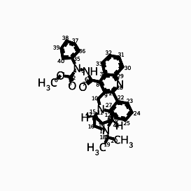 COC(=O)N(NC(=O)c1c(CN2C[C@H]3C[C@@H]2CN3C(C)C)c(-c2ccccc2)nc2ccccc12)c1ccccc1